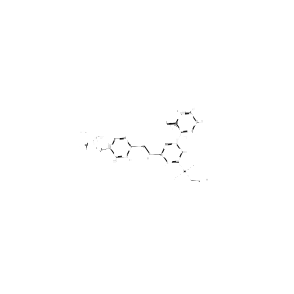 CC(C)(CO)c1cc(C=Cc2ccc(NS(C)(=O)=O)cc2)cc(-c2ccc[nH]c2=O)c1